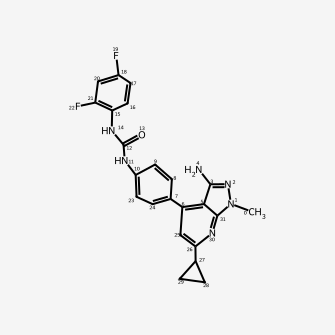 Cn1nc(N)c2c(-c3ccc(NC(=O)Nc4ccc(F)cc4F)cc3)cc(C3CC3)nc21